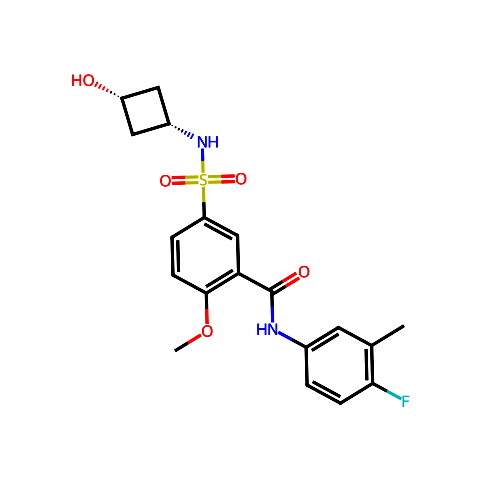 COc1ccc(S(=O)(=O)N[C@H]2C[C@@H](O)C2)cc1C(=O)Nc1ccc(F)c(C)c1